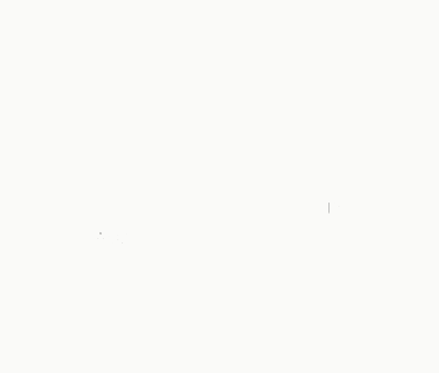 CC(=O)OCCCC(C)CC(C)C